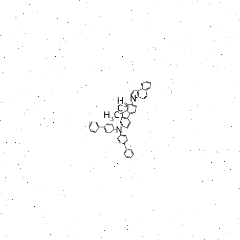 CC1(C)c2cc(N(c3ccc(-c4ccccc4)cc3)C3C=CC(c4ccccc4)=CC3)ccc2-c2ccc(-n3ccc4c5ccccc5ccc43)cc21